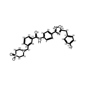 O=C(Nc1ccc(-c2noc(Cc3ccc(F)cc3)n2)cc1)c1cccc(CN2CCS(=O)(=O)CC2)c1